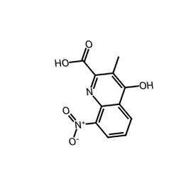 Cc1c(C(=O)O)nc2c([N+](=O)[O-])cccc2c1O